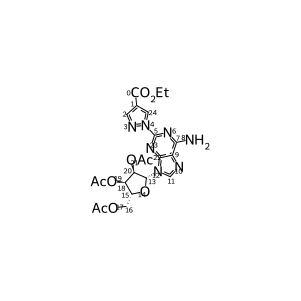 CCOC(=O)c1cnn(-c2nc(N)c3ncn([C@@H]4O[C@H](COC(C)=O)[C@@H](OC(C)=O)[C@H]4OC(C)=O)c3n2)c1